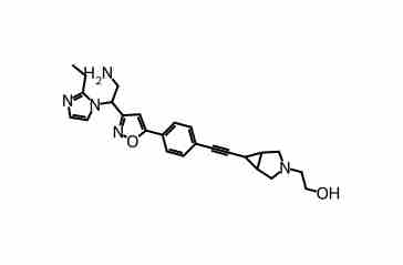 CCc1nccn1C(CN)c1cc(-c2ccc(C#CC3C4CN(CCO)CC34)cc2)on1